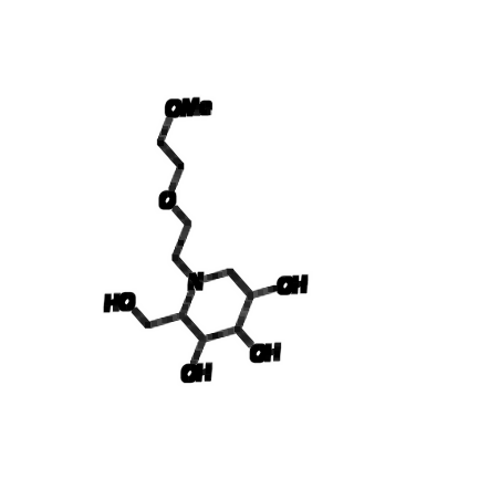 COCCOCCN1CC(O)C(O)C(O)C1CO